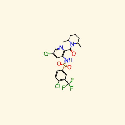 CC1CCCC(C)N1C(=O)c1ncc(Cl)cc1NS(=O)(=O)c1ccc(Cl)c(C(F)(F)F)c1